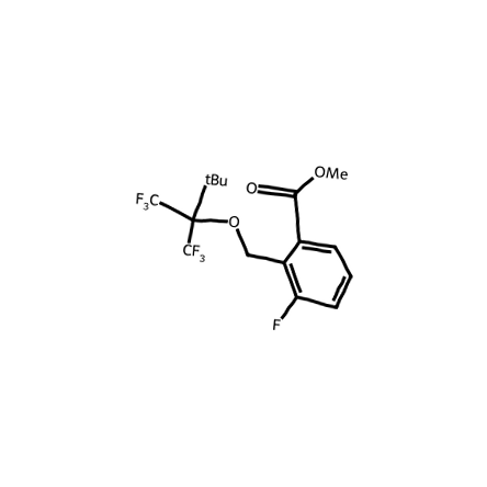 COC(=O)c1cccc(F)c1COC(C(C)(C)C)(C(F)(F)F)C(F)(F)F